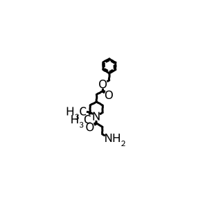 CC1(C)CC(CC(=O)OCc2ccccc2)CCN1C(=O)CCN